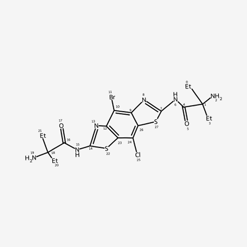 CCC(N)(CC)C(=O)Nc1nc2c(Br)c3nc(NC(=O)C(N)(CC)CC)sc3c(Cl)c2s1